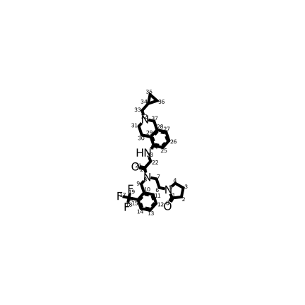 O=C1CCCN1CCN(Cc1ccccc1C(F)(F)F)C(=O)CNc1cccc2c1CCN(CC1CC1)C2